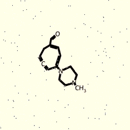 CN1CCN(/C2=C/C=C(/C=O)CC=C=C2)CC1